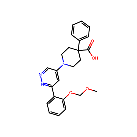 COCOc1ccccc1-c1cc(N2CCC(C(=O)O)(c3ccccc3)CC2)cnn1